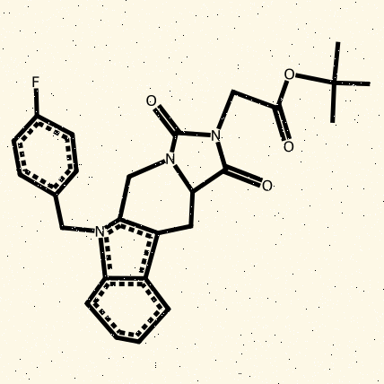 CC(C)(C)OC(=O)CN1C(=O)C2Cc3c(n(Cc4ccc(F)cc4)c4ccccc34)CN2C1=O